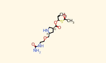 C=CC(OC(=O)[C@@H]1CN[C@H](COCCNC(N)=O)C1)SC(C)=O